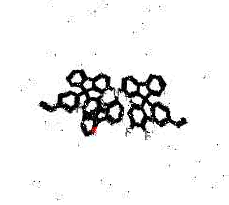 C=Cc1ccc(C2(c3c(F)cc(F)c(F)c3F)c3ccccc3-c3ccc(N(c4ccc5c(c4)C(c4ccc(C=C)cc4)(c4c(F)cc(F)c(F)c4F)c4ccccc4-5)c4cccc5c4oc4ccccc45)cc32)cc1